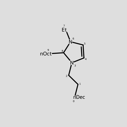 CCCCCCCCCCCCN1C=CN(CC)C1CCCCCCCC